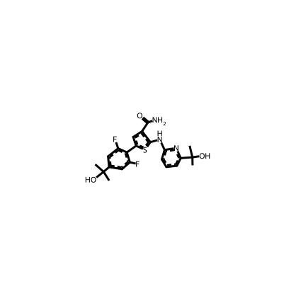 CC(C)(O)c1cc(F)c(-c2cc(C(N)=O)c(Nc3cccc(C(C)(C)O)n3)s2)c(F)c1